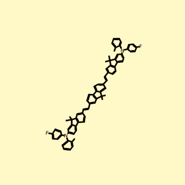 Cc1ccccc1N(c1ccc(F)cc1)c1ccc2c(c1)C(C)(C)c1cc(/C=C/c3ccc4c(c3)C(C)(C)c3cc(/C=C/c5ccc6c(c5)C(C)(C)c5cc(N(c7ccc(F)cc7)c7ccccc7C)ccc5-6)ccc3-4)ccc1-2